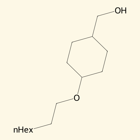 CCCCCCCCOC1CCC(CO)CC1